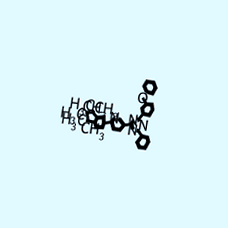 CC1(C)c2ccc(-c3ccc(-c4nc(-c5ccccc5)nc(-c5cccc(Oc6ccccc6)c5)n4)cn3)cc2C(C)(C)C1(C)C